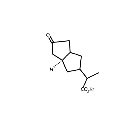 CCOC(=O)C(C)C1CC2CC(=O)C[C@@H]2C1